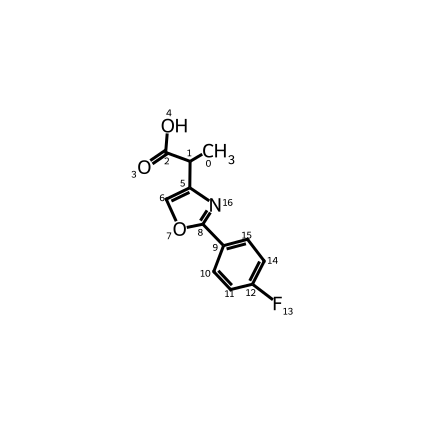 CC(C(=O)O)c1coc(-c2ccc(F)cc2)n1